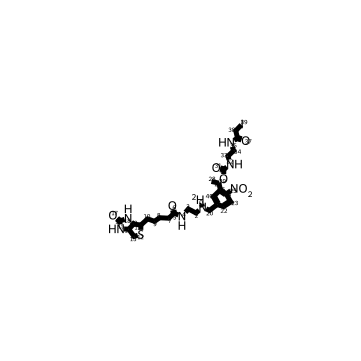 [2H]N(CCNC(=O)CCCCC1SCC2NC(=O)NC21)Cc1ccc([N+](=O)[O-])c(C(C)OC(=O)NCCNC(=O)CI)c1